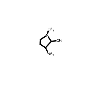 CN1CCC(N)C1O